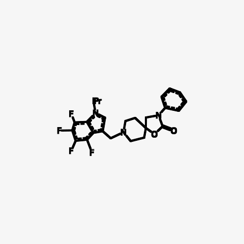 CC(C)n1cc(CN2CCC3(CC2)CN(c2ccccc2)C(=O)O3)c2c(F)c(F)c(F)c(F)c21